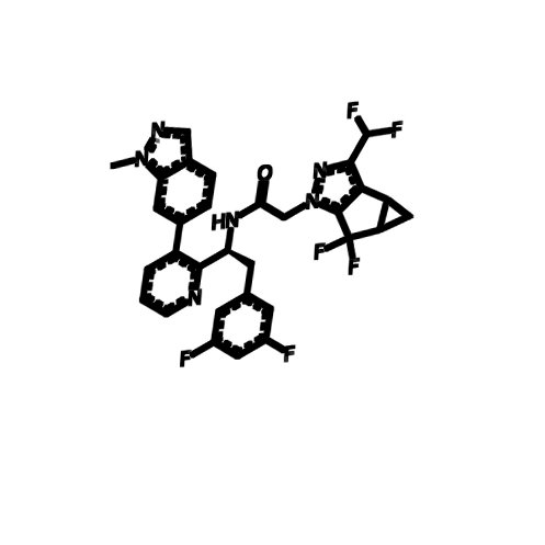 Cn1ncc2ccc(-c3cccnc3[C@H](Cc3cc(F)cc(F)c3)NC(=O)Cn3nc(C(F)F)c4c3C(F)(F)C3CC43)cc21